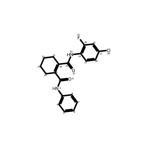 O=C(Nc1ccccc1)C1=C(C(=O)Nc2ccc(Cl)cc2F)CCCC1